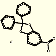 O=S([O-])c1ccc2c(c1)OC(c1ccccc1)(c1ccccc1)O2.[Li+]